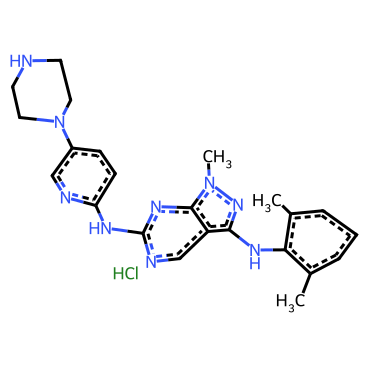 Cc1cccc(C)c1Nc1nn(C)c2nc(Nc3ccc(N4CCNCC4)cn3)ncc12.Cl